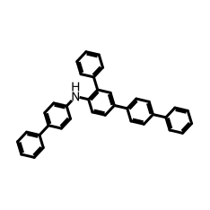 c1ccc(-c2ccc(Nc3ccc(-c4ccc(-c5ccccc5)cc4)cc3-c3ccccc3)cc2)cc1